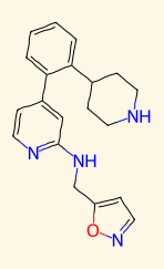 c1ccc(C2CCNCC2)c(-c2ccnc(NCc3ccno3)c2)c1